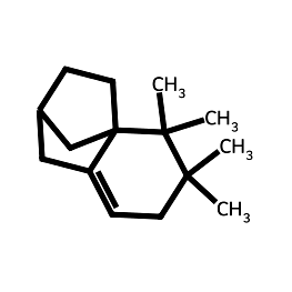 CC1(C)CC=C2CC3CCC2(C3)C1(C)C